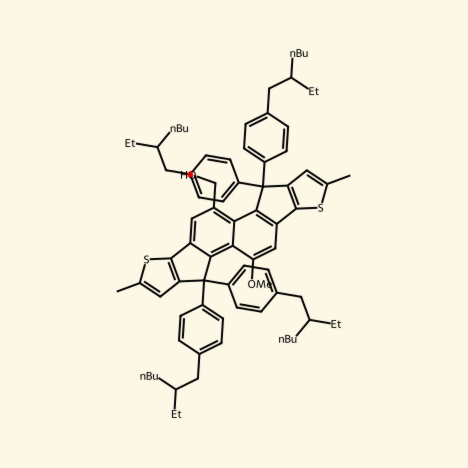 CCCCC(CC)Cc1ccc(C2(c3ccc(CC(CC)CCCC)cc3)c3cc(C)sc3-c3cc(OC)c4c5c(cc(CO)c4c32)-c2sc(C)cc2C5(c2ccc(CC(CC)CCCC)cc2)c2ccc(CC(CC)CCCC)cc2)cc1